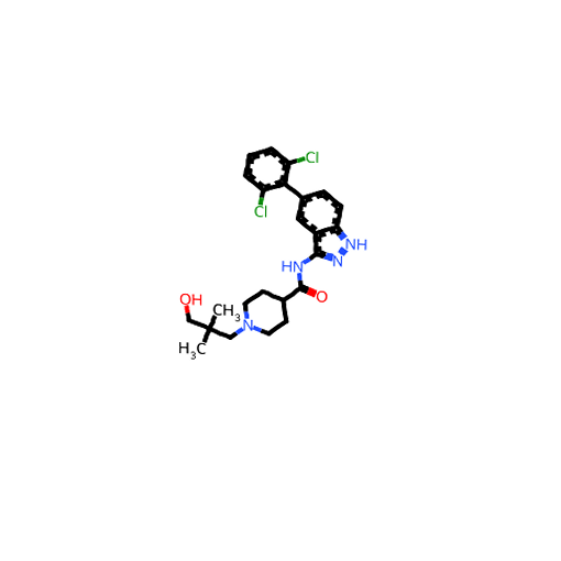 CC(C)(CO)CN1CCC(C(=O)Nc2n[nH]c3ccc(-c4c(Cl)cccc4Cl)cc23)CC1